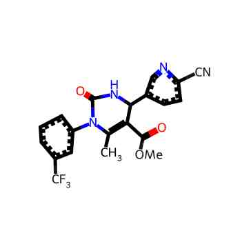 COC(=O)C1=C(C)N(c2cccc(C(F)(F)F)c2)C(=O)NC1c1ccc(C#N)nc1